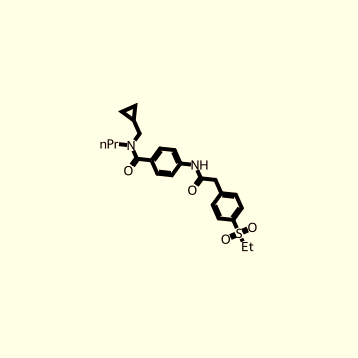 CCCN(CC1CC1)C(=O)c1ccc(NC(=O)Cc2ccc(S(=O)(=O)CC)cc2)cc1